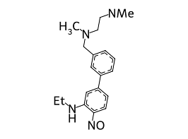 CCNc1cc(-c2cccc(CN(C)CCNC)c2)ccc1N=O